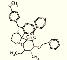 CC[C@H]1O[C@@](O)(C2(c3ccccc3Cc3ccc(OC)cc3)SCCCS2)[C@H](OCc2ccccc2)[C@@H](OCc2ccccc2)[C@@H]1C